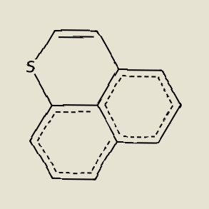 C1=Cc2cccc3cccc(c23)S1